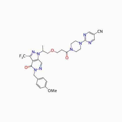 COc1ccc(Cn2ncc3c(c(C(F)(F)F)nn3C(C)COCCC(=O)N3CCN(c4ncc(C#N)cn4)CC3)c2=O)cc1